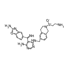 N=C(c1ccc2oc(N)nc2c1)c1c(N)ncnc1NCc1ccc2c(c1)CCN([S+]([O-])CCN)C2